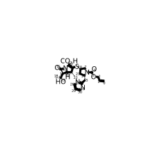 C=CCOC(=O)N1C[C@@H](SC2=C(C(=O)O)N3C(=O)[C@H]([C@@H](C)O)[C@H]3[C@H]2C)C[C@H]1Cc1ncccn1